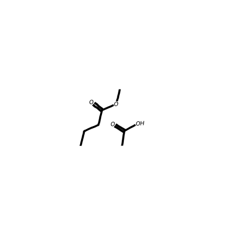 CC(=O)O.CCCC(=O)OC